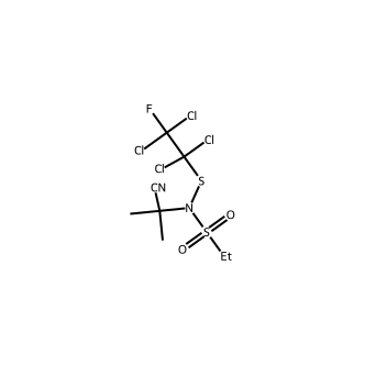 CCS(=O)(=O)N(SC(Cl)(Cl)C(F)(Cl)Cl)C(C)(C)C#N